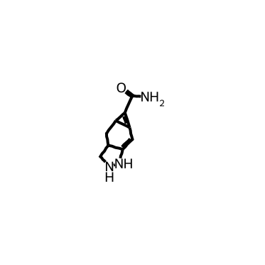 NC(=O)C1=C2C=C3NNCC3CC21